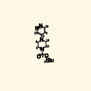 CC(C)(C)OC(=O)N1CCN(c2ccnnc2)CC1